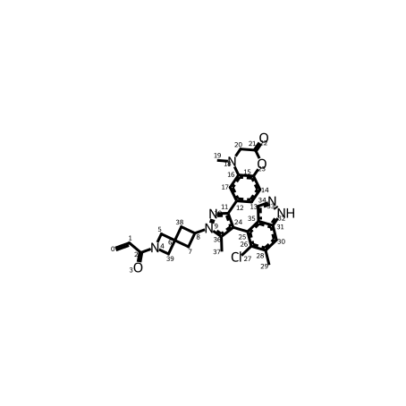 C=CC(=O)N1CC2(CC(n3nc(-c4ccc5c(c4)N(C)CC(=O)O5)c(-c4c(Cl)c(C)cc5[nH]ncc45)c3C)C2)C1